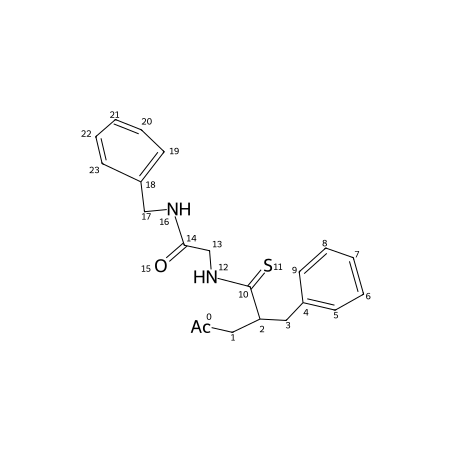 CC(=O)CC(Cc1ccccc1)C(=S)NCC(=O)NCc1ccccc1